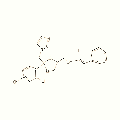 FC(=Cc1ccccc1)OCC1COC(Cn2ccnc2)(c2ccc(Cl)cc2Cl)O1